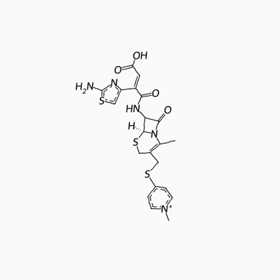 CC1=C(CSc2cc[n+](C)cc2)CS[C@H]2C(NC(=O)C(=CC(=O)O)c3csc(N)n3)C(=O)N12